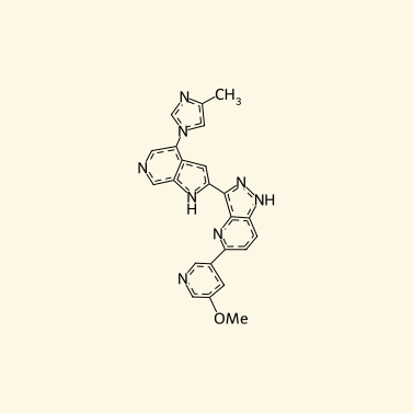 COc1cncc(-c2ccc3[nH]nc(-c4cc5c(-n6cnc(C)c6)cncc5[nH]4)c3n2)c1